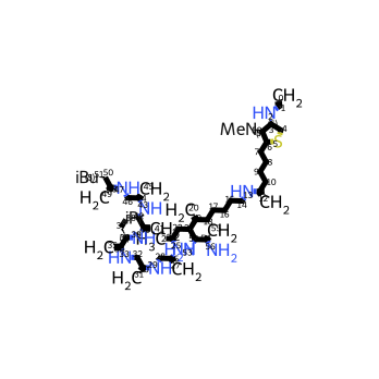 C=CN[C@@H]1CSC(CCCCC(=C)NCCCCCC(=C)C(CC(C)NC(=C)CNC(=C)CNC(=C)[C@H](CC(C)C)NC(=C)CNC(=C)CNC(=C)C[C@@H](C)CC)C(N)C(=C)N)[C@@H]1NC